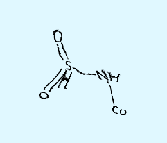 O=[SH](=O)[NH][Co]